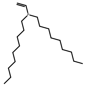 C=CP(CCCCCCCCC)CCCCCCCCC